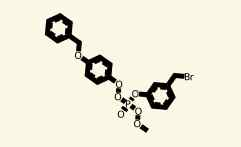 COOP(=O)(OOc1ccc(OCc2ccccc2)cc1)Oc1cccc(CBr)c1